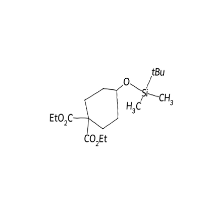 CCOC(=O)C1(C(=O)OCC)CCC(O[Si](C)(C)C(C)(C)C)CC1